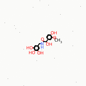 COc1cc(C(O)C(=O)NCc2cc(O)c(O)c(O)c2)ccc1O